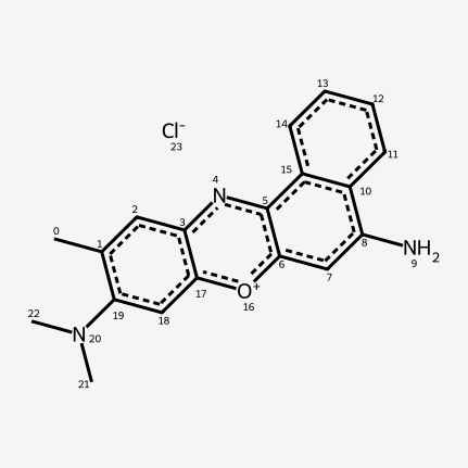 Cc1cc2nc3c(cc(N)c4ccccc43)[o+]c2cc1N(C)C.[Cl-]